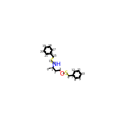 C[C@H](CCOSCc1ccccc1)NSCc1ccccc1